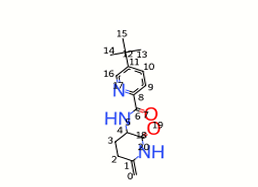 C=C1CCC(NC(=O)c2ccc(C(C)(C)C)cn2)C(=O)N1